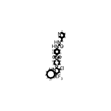 O=C(NCc1cccnc1)Nc1ccc(S(=O)(=O)N2CCN(C3NC4(CCCCCCCC4)C(C(F)(F)F)CC3Cl)CC2)cc1